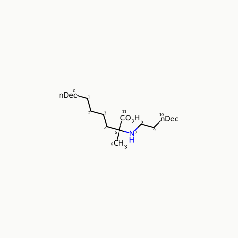 CCCCCCCCCCCCCCC(C)(NCCCCCCCCCCCC)C(=O)O